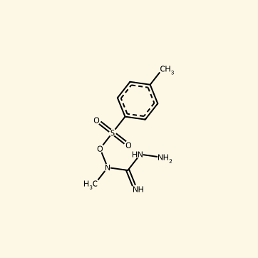 Cc1ccc(S(=O)(=O)ON(C)C(=N)NN)cc1